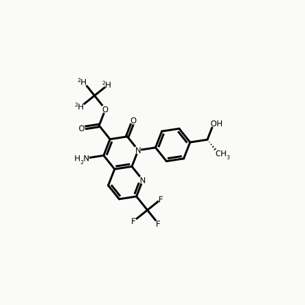 [2H]C([2H])([2H])OC(=O)c1c(N)c2ccc(C(F)(F)F)nc2n(-c2ccc([C@@H](C)O)cc2)c1=O